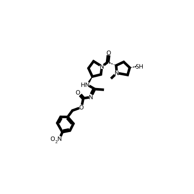 CC(=NC(=O)OCc1ccc([N+](=O)[O-])cc1)N[C@H]1CCN(C(=O)[C@@H]2C[C@H](S)CN2C)C1